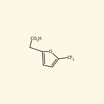 O=C(O)Cc1ccc(C(F)(F)F)o1